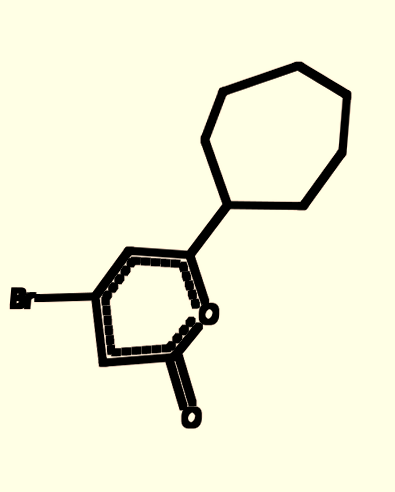 O=c1cc(Br)cc(C2CCCCCC2)o1